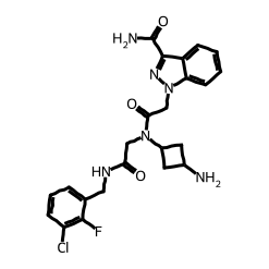 NC(=O)c1nn(CC(=O)N(CC(=O)NCc2cccc(Cl)c2F)C2CC(N)C2)c2ccccc12